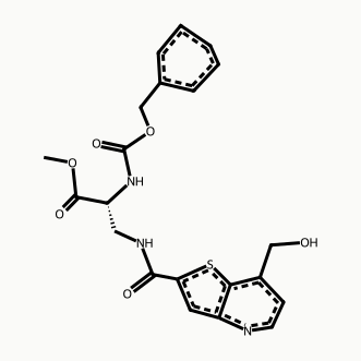 COC(=O)[C@@H](CNC(=O)c1cc2nccc(CO)c2s1)NC(=O)OCc1ccccc1